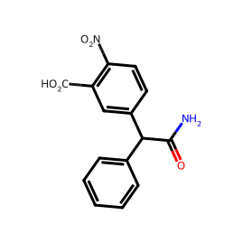 NC(=O)C(c1ccccc1)c1ccc([N+](=O)[O-])c(C(=O)O)c1